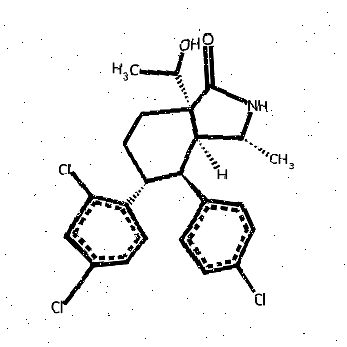 CC(O)[C@@]12CC[C@@H](c3ccc(Cl)cc3Cl)[C@H](c3ccc(Cl)cc3)[C@@H]1[C@@H](C)NC2=O